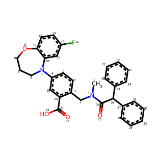 CN(Cc1ccc(N2CCCOc3ccc(F)cc32)cc1C(=O)O)C(=O)C(c1ccccc1)c1ccccc1